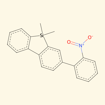 C[Si]1(C)c2ccccc2-c2ccc(-c3ccccc3[N+](=O)[O-])cc21